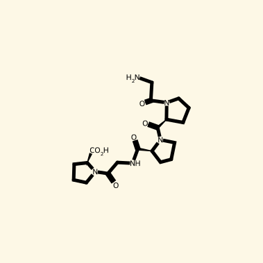 NCC(=O)N1CCC[C@H]1C(=O)N1CCC[C@H]1C(=O)NCC(=O)N1CCC[C@H]1C(=O)O